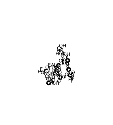 CCc1ccc(COc2ccc(-n3c(=O)cc(C(F)(F)F)n(C)c3=O)cc2)c(OC(C)C(=O)OC)c1.COc1cc(OC)nc(NC(=O)NS(=O)(=O)c2ncccc2C(=O)N(C)C)n1.O=C(Nc1nc(OC(F)F)cc(OC(F)F)n1)NS(=O)(=O)c1ccccc1C(=O)O.O=C(O)CNCP(=O)(O)O